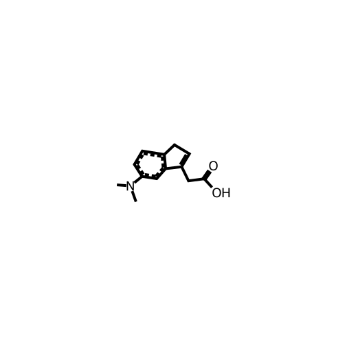 CN(C)c1ccc2c(c1)C(CC(=O)O)=CC2